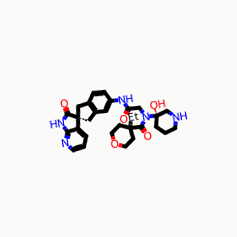 CCC1(C(=O)N(CC(=O)Nc2ccc3c(c2)C[C@@]2(C3)C(=O)Nc3ncccc32)[C@]2(O)CCCNC2)CCOCC1